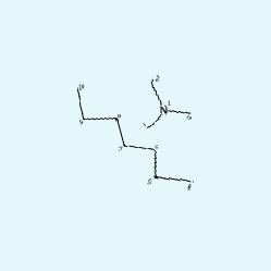 CN(C)C.[CH2]CCCCCC